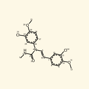 CNC(=O)N(C=Nc1ccc(OC)c(Cl)c1)c1ccc(OC)c(Cl)c1